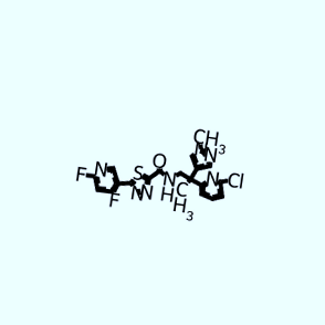 Cn1cc(C(C)(CNC(=O)c2nnc(-c3cnc(F)cc3F)s2)c2cccc(Cl)n2)cn1